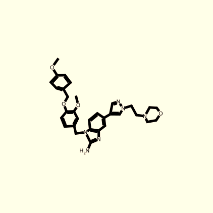 COc1ccc(COc2ccc(Cn3c(N)nc4cc(-c5cnn(CCN6CCOCC6)c5)ccc43)cc2OC)cc1